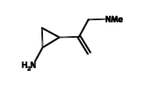 C=C(CNC)C1CC1N